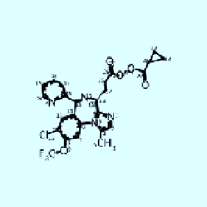 Cc1cnc2n1-c1cc(OC(F)(F)F)c(Cl)cc1C(c1ccccn1)=N[C@H]2CCC(=O)OOC(=O)C1CC1